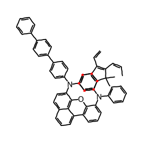 C=CC1=C(/C=C\C)C(C)(C)c2ccc(N(c3ccc(-c4ccc(-c5ccccc5)cc4)cc3)c3ccc4cccc5c4c3Oc3c-5cccc3N(c3ccccc3)c3ccccc3)cc21